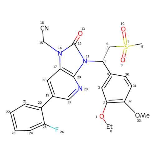 CCOc1cc([C@@H](CS(C)(=O)=O)n2c(=O)n(CC#N)c3cc(-c4ccccc4F)cnc32)ccc1OC